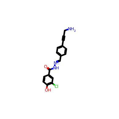 NCC#Cc1ccc(/C=N/NC(=O)c2ccc(O)c(Cl)c2)cc1